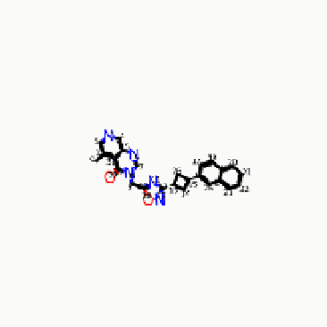 Cc1cncc2ncn(Cc3nc([C@H]4C[C@H](c5ccc6ccccc6c5)C4)no3)c(=O)c12